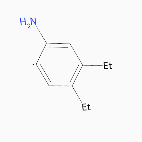 CCc1c[c]c(N)cc1CC